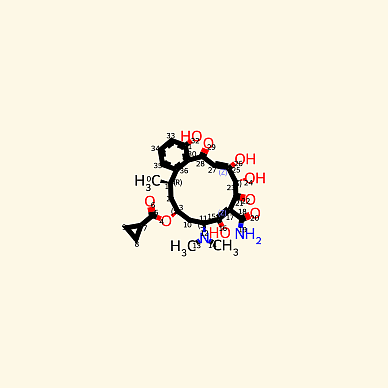 C[C@@H]1C[C@H](OC(=O)C2CC2)C[C@H](N(C)C)/C(O)=C(/C(N)=O)C(=O)[C@@H](O)/C(O)=C/C(=O)c2c(O)cccc21